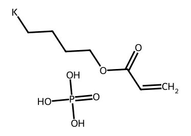 C=CC(=O)OCCC[CH2][K].O=P(O)(O)O